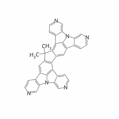 CC1(C)c2cc3c4ccncc4n4c5cnccc5c(c2-c2cc5c6ccncc6n6c7cnccc7c(c21)c56)c34